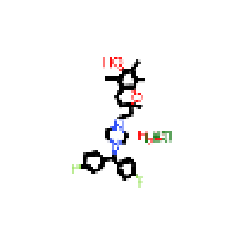 Cc1c(C)c2c(c(C)c1O)CCC(C)(CCN1CCN(C(c3ccc(F)cc3)c3ccc(F)cc3)CC1)O2.Cl.Cl.O